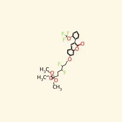 CCO[Si](CCC(F)C(F)CCOc1ccc2cc(-c3ccccc3OC(F)(F)F)c(=O)oc2c1)(OCC)OCC